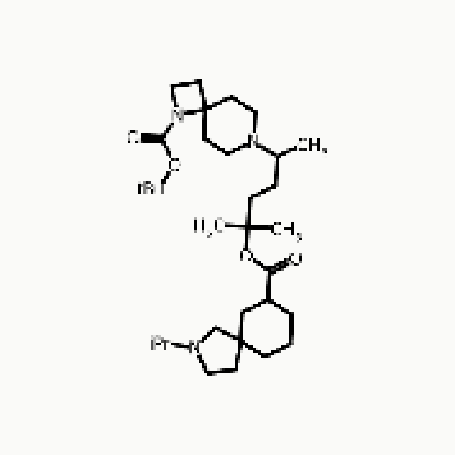 CC(C)N1CCC2(CCCC(C(=O)OC(C)(C)CCC(C)N3CCC4(CC3)CCN4C(=O)OC(C)(C)C)C2)C1